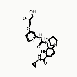 O=C(NC1CC1)C1C=CC2=C(N1)N(C(=O)Nc1cc(OC[C@H](O)CO)ccn1)[C@H]1CCN2C1